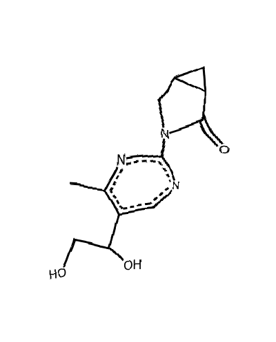 Cc1nc(N2CC3CC3C2=O)ncc1C(O)CO